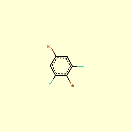 Fc1cc(Br)cc(F)c1Br